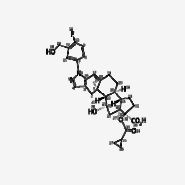 C[C@]12Cc3cnn(-c4ccc(F)c(CO)c4)c3C=C1CC[C@@H]1[C@@H]2[C@@H](O)C[C@@]2(C)[C@H]1CC[C@]2(OC(=O)C1CC1)C(=O)O